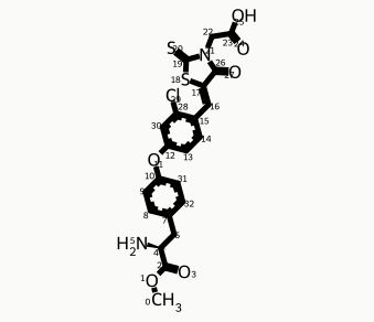 COC(=O)[C@@H](N)Cc1ccc(Oc2ccc(/C=C3\SC(=S)N(CC(=O)O)C3=O)c(Cl)c2)cc1